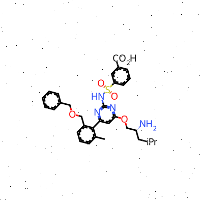 Cc1cccc(COCc2ccccc2)c1-c1cc(OC[C@H](N)CC(C)C)nc(NS(=O)(=O)c2cccc(C(=O)O)c2)n1